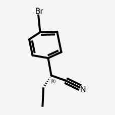 CC[C@@H](C#N)c1ccc(Br)cc1